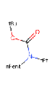 CCCCCN(CC)C(=O)OC(C)(C)C